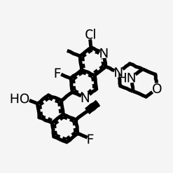 C#Cc1c(F)ccc2cc(O)cc(-c3ncc4c(N5CC6COCC(C5)N6)nc(Cl)c(C)c4c3F)c12